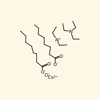 CCCCCCCC(=O)[O-].CCCCCCCC(=O)[O-].C[CH2][Al+][CH2]C.C[CH2][Al]([CH2]C)[CH2]C.[Cl-].[Co+2]